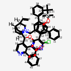 C=C[C@H]1C[N+]2(Cc3cc(-c4ccccc4)c(O[Si](C)(C)C(C)(C)C)c(-c4ccccc4)c3)CC[C@H]1C[C@@H]2[C@@H](Oc1nc(-c2ccccc2)nc(Cl)c1-c1ccccc1)c1ccnc2ccc([O-])cc12